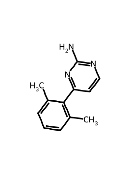 Cc1cccc(C)c1-c1ccnc(N)n1